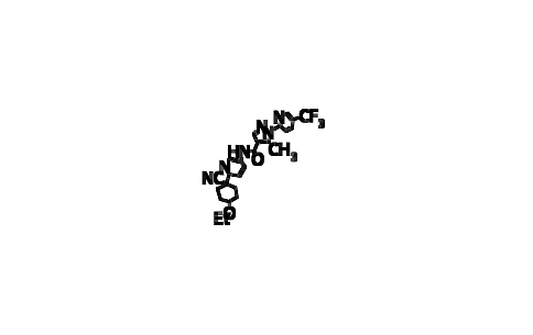 CCOC1CCC(C#N)(c2ccc(NC(=O)c3cnn(-c4ccc(C(F)(F)F)cn4)c3C)cn2)CC1